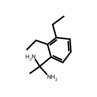 CCc1cccc(C(C)(N)N)c1CC